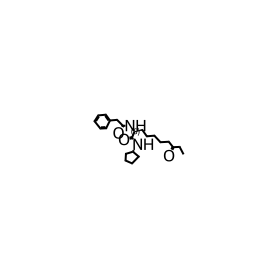 CCC(=O)CCCCC[C@H](NC(=O)Cc1ccccc1)C(=O)NC1CCCC1